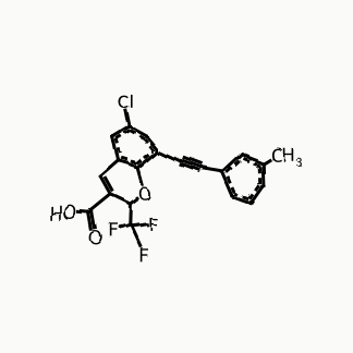 Cc1cccc(C#Cc2cc(Cl)cc3c2OC(C(F)(F)F)C(C(=O)O)=C3)c1